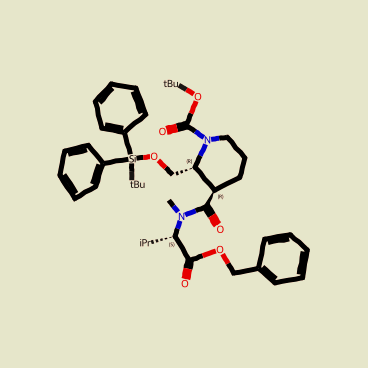 CC(C)[C@@H](C(=O)OCc1ccccc1)N(C)C(=O)[C@@H]1CCCN(C(=O)OC(C)(C)C)[C@H]1CO[Si](c1ccccc1)(c1ccccc1)C(C)(C)C